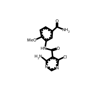 COc1ccc(C(N)=O)cc1NC(=O)c1c(N)ncnc1Cl